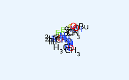 [2H]C([2H])([2H])N1CC[C@H](C(F)F)[C@](C)(COc2nc(N3CCCn4nc(C(=O)N(C)C)cc4C3)c3cc(C(F)(F)F)c(-c4c(F)ccc5sc(NC(=O)OC(C)(C)C)c(C#N)c45)c(F)c3n2)C1